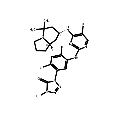 Cn1nnn(-c2cc(Nc3ncc(F)c(N[C@@H]4C[C@@H]5CCCN5C(C)(C)C4)n3)c(F)cc2Br)c1=O